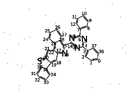 c1ccc(-c2nc(-c3ccccc3)nc(-c3nc4cc5c(cc4c4ccccc34)sc3ccccc35)n2)cc1